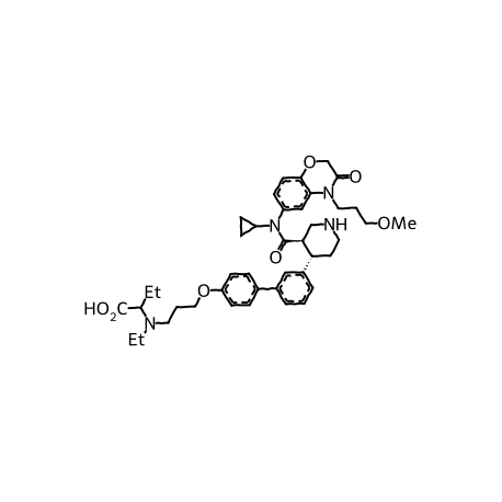 CCC(C(=O)O)N(CC)CCCOc1ccc(-c2cccc([C@H]3CCNC[C@@H]3C(=O)N(c3ccc4c(c3)N(CCCOC)C(=O)CO4)C3CC3)c2)cc1